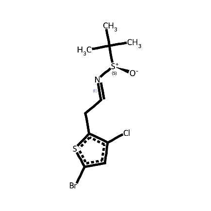 CC(C)(C)[S@@+]([O-])/N=C/Cc1sc(Br)cc1Cl